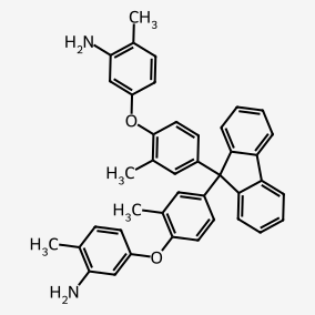 Cc1ccc(Oc2ccc(C3(c4ccc(Oc5ccc(C)c(N)c5)c(C)c4)c4ccccc4-c4ccccc43)cc2C)cc1N